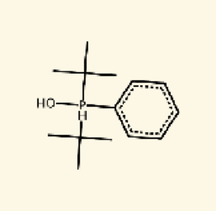 CC(C)(C)[PH](O)(c1ccccc1)C(C)(C)C